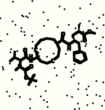 COC(=O)[C@@H](C)C[C@H](Cc1ccccc1)NC(=O)C1CCCCCC(NC(=O)[C@H](C(C)C)N(C)C(=O)OC(C)(C)C)CCCCC1